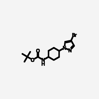 CC(C)(C)OC(=O)NC1CCC(n2cc(Br)cn2)CC1